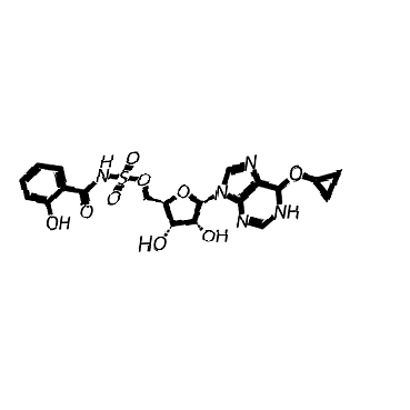 O=C(NS(=O)(=O)OC[C@H]1O[C@@H](n2cnc3c2N=CNC3OC2CC2)[C@H](O)[C@@H]1O)c1ccccc1O